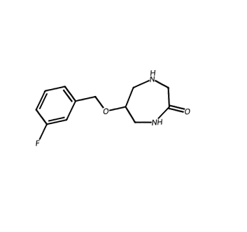 O=C1CNCC(OCc2cccc(F)c2)CN1